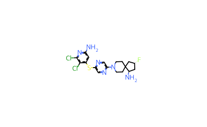 Nc1cc(Sc2cnc(N3CCC4(CC3)C[C@H](F)C[C@H]4N)cn2)c(Cl)c(Cl)n1